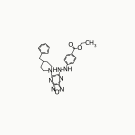 CCOC(=O)c1ccc(NNc2nc3nonc3nc2N2CCC(Cc3ccccc3)CC2)cc1